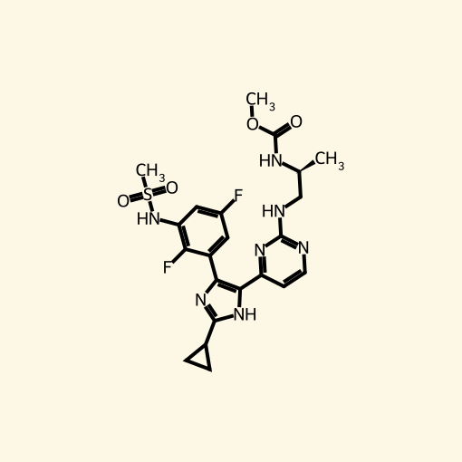 COC(=O)N[C@@H](C)CNc1nccc(-c2[nH]c(C3CC3)nc2-c2cc(F)cc(NS(C)(=O)=O)c2F)n1